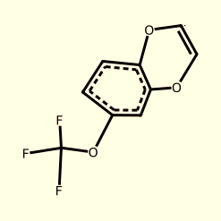 FC(F)(F)Oc1ccc2c(c1)OC=[C]O2